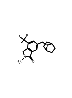 CN1Cc2c(cc(CN3C4CCC3CC4)cc2C(F)(F)F)C1=O